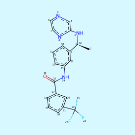 C[C@H](Nc1cnccn1)c1cccc(NC(=O)c2cccc(C(F)(F)F)c2)c1